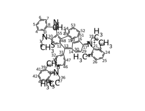 CCN(c1ccccc1C)c1sc(C(=C2C=CC(=[N+](CC)c3c(C)cccc3C)C=C2)c2ccc(N(CC)c3c(C)cccc3C)cc2)c(-c2ccccc2)c1C#N